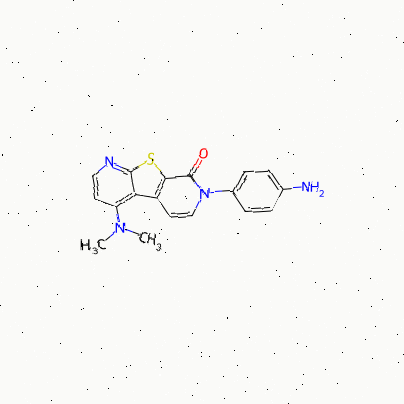 CN(C)c1ccnc2sc3c(=O)n(-c4ccc(N)cc4)ccc3c12